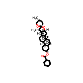 C[C@@H]1CC[C@@]2(OC1)O[C@H]1C[C@H]3[C@@H]4CCC5C[C@@H](OC(=O)c6ccccc6)CC[C@]5(C)[C@H]4CC[C@]3(C)[C@H]1[C@@H]2C